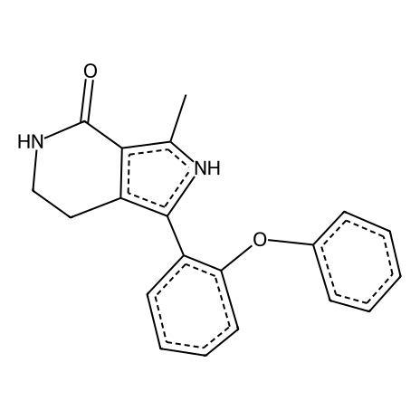 Cc1[nH]c(-c2ccccc2Oc2ccccc2)c2c1C(=O)NCC2